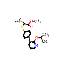 COC(=O)C(C)Sc1ccc(-c2cccnc2OC(C)C)cc1